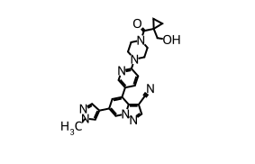 Cn1cc(-c2cc(-c3ccc(N4CCN(C(=O)C5(CO)CC5)CC4)nc3)c3c(C#N)cnn3c2)cn1